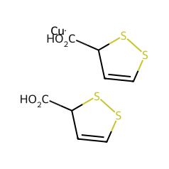 O=C(O)C1C=CSS1.O=C(O)C1C=CSS1.[Cu]